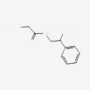 CCOC(=O)CC(=O)NCC(C(=O)O)c1ccccc1